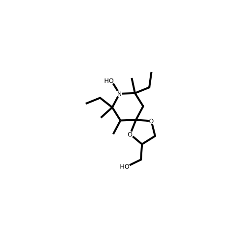 CCC1(C)CC2(OCC(CO)O2)C(C)C(C)(CC)N1O